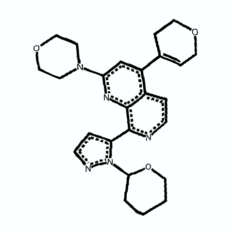 C1=C(c2cc(N3CCOCC3)nc3c(-c4ccnn4C4CCCCO4)nccc23)CCOC1